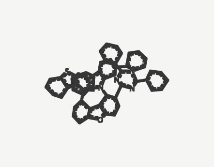 c1ccc(-c2ccc3c4ccccc4n(-c4c(-c5nc(-c6ccccc6)nc(-c6ccccc6)n5)ccc5oc6cccc(-c7cccc8sc9ccccc9c78)c6c45)c3c2)cc1